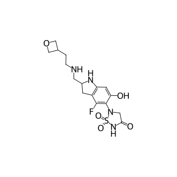 O=C1CN(c2c(O)cc3c(c2F)CC(CNCCC2COC2)N3)S(=O)(=O)N1